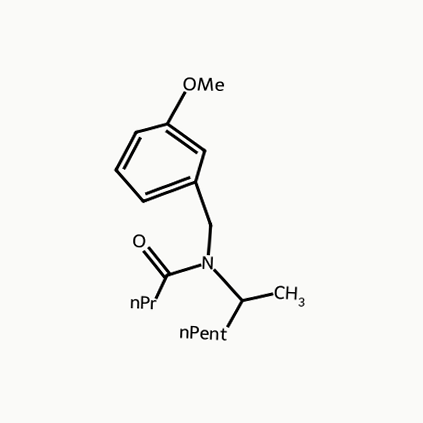 CCCCCC(C)N(Cc1cccc(OC)c1)C(=O)CCC